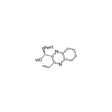 C=Cc1nc2ccccc2nc1[C@@H](O)CCCCC